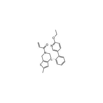 C=CC(=O)N1Cc2sc(C)cc2[C@@H](c2ccccc2-c2ccc(OCC)nc2)C1